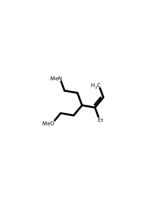 CC=C(CC)C(CCNC)CCOC